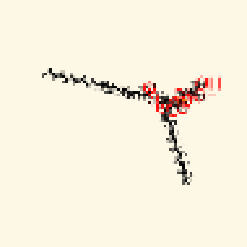 CCCCCCCCCCCCCCCCCCCC(=O)OC[C@H](COP(=O)(O)OC[C@@H](O)CO)OC(=O)CCCCCCCCCCCCC